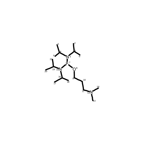 CC(C)N(C(C)C)P(OCCCN(C)C)N(C(C)C)C(C)C